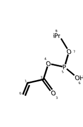 C=CC(=O)OP(O)OC(C)C